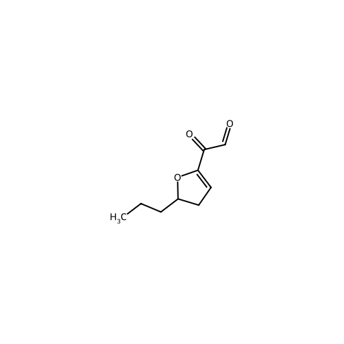 CCCC1CC=C(C(=O)C=O)O1